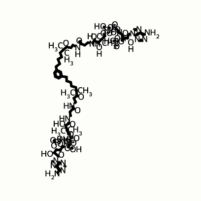 CC(C)(CCCCCc1cccc(CCCCCC(C)(C)C(=O)CCNC(=O)CCNC(=O)C(O)C(C)(C)COP(=O)(O)OP(=O)(O)OCC2OC(n3cnc4c(N)ncnc43)C(O)C2OP(=O)(O)O)c1)C(=O)CCNC(=O)CCNC(=O)C(O)C(C)(C)COP(=O)(O)OP(=O)(O)OCC1OC(n2cnc3c(N)ncnc32)C(O)C1OP(=O)(O)O